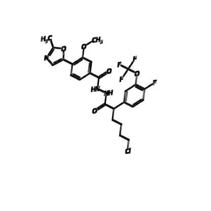 COc1cc(C(=O)NNC(=O)C(CCCCCl)c2ccc(F)c(OC(F)(F)F)c2)ccc1-c1cnc(C)o1